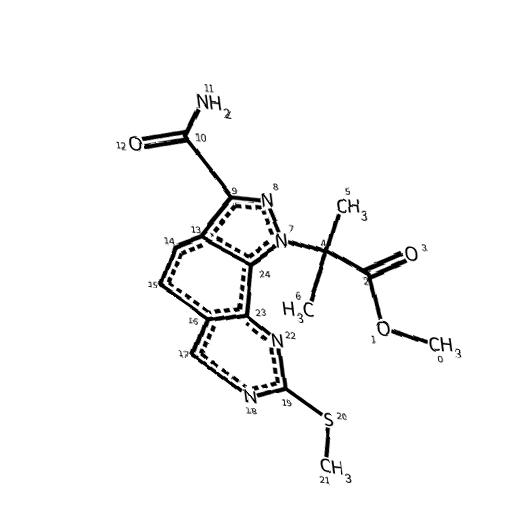 COC(=O)C(C)(C)n1nc(C(N)=O)c2ccc3cnc(SC)nc3c21